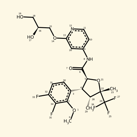 COc1c([C@@H]2[C@@H](C(=O)Nc3ccnc(OC[C@@H](O)CO)c3)O[C@](C)(C(F)(F)F)[C@@H]2C)ccc(F)c1F